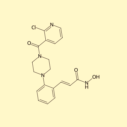 O=C(C=Cc1ccccc1N1CCN(C(=O)c2cccnc2Cl)CC1)NO